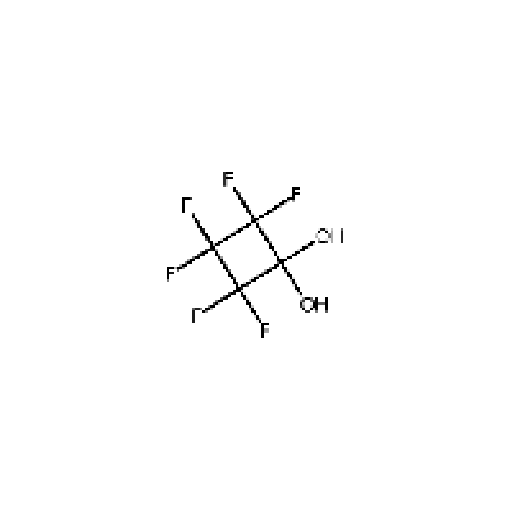 OC1(O)C(F)(F)C(F)(F)C1(F)F